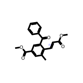 COC(=O)/C=C/c1c(C)cc(C(=O)OC)cc1C(=O)c1ccccc1